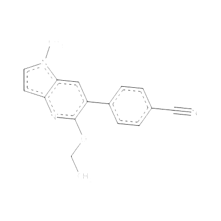 CCOc1nc2ccn(C)c2cc1-c1ccc(C#N)cc1